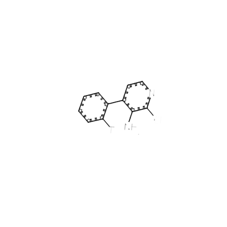 Nc1c(-c2ccccc2F)ccnc1Cl